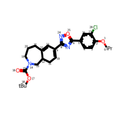 CC(C)Oc1ccc(-c2nc(C3=CCC4CN(C(=O)OC(C)(C)C)CCCC4=C3)no2)cc1Cl